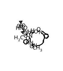 C=C[C@@H]1C[C@]1(NC(=O)[C@@H]1C[C@@H]2CN1C(=O)[C@H](C1CCCCC1)NC(=O)N(C)CCC/C=C/c1cccc3c1CN(C3)C(=O)O2)C(=O)NS(=O)(=O)C1CC1